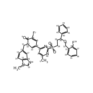 Cc1cc(-c2cc(F)c(=O)n(Cc3ccc4c(c3)ncn4C)c2)nc(S(=O)(=O)CCC(OCc2ccccc2F)c2ccccc2)n1